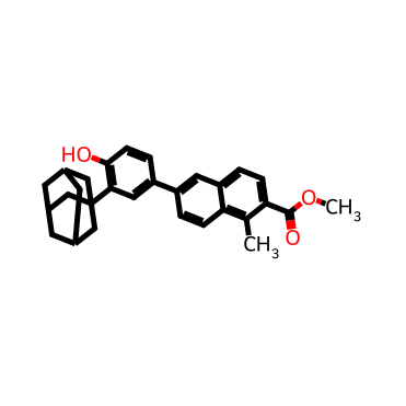 COC(=O)c1ccc2cc(-c3ccc(O)c(C45CC6CC(CC(C6)C4)C5)c3)ccc2c1C